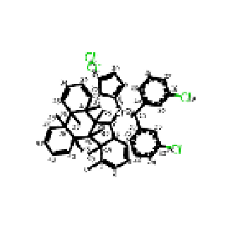 CC1=CC=CC2[CH]([Zr+2]([C]3=CC=CC3)=[C](c3cccc(Cl)c3)c3cccc(Cl)c3)C3(C)C4(C)C=CC=CC4(C)C4(C)C=CC=CC4(C)C3(C)C12C.[Cl-].[Cl-]